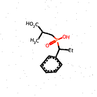 CCC(c1ccccc1)P(=O)(O)CC(C)C(=O)O